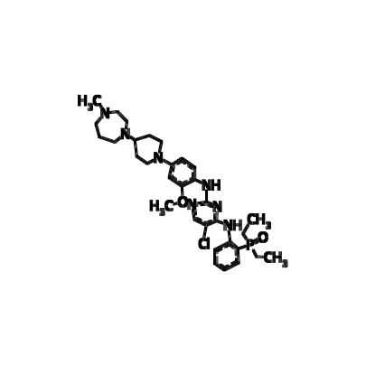 CCP(=O)(CC)c1ccccc1Nc1nc(Nc2ccc(N3CCC(N4CCCN(C)CC4)CC3)cc2OC)ncc1Cl